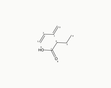 C=CC=C.CCCC(=O)O